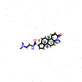 CN(C)CCNC(=O)[C@H]1CC[C@H]2[C@@H]3CC[C@H]4N(C)C(=O)C=C[C@]4(C)[C@H]3CC[C@]12C